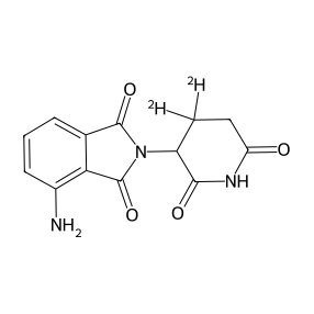 [2H]C1([2H])CC(=O)NC(=O)C1N1C(=O)c2cccc(N)c2C1=O